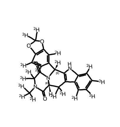 [2H]c1c([2H])c([C@]2([2H])c3[nH]c4c([2H])c([2H])c([2H])c([2H])c4c3C([2H])([2H])[C@@H]3C(=O)N(C([2H])([2H])[2H])C([2H])([2H])C(=O)N32)c([2H])c2c1OC([2H])([2H])O2